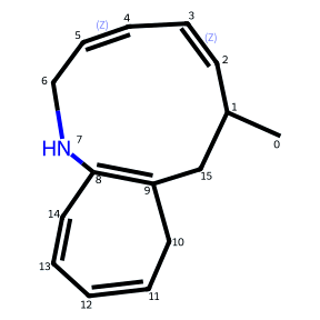 CC1/C=C\C=C/CNC2=C(CC=CC=C2)C1